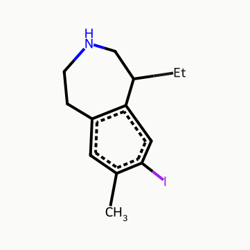 CCC1CNCCc2cc(C)c(I)cc21